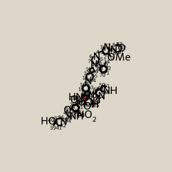 COc1cc(CN2CCN(C3CC4(CCN(c5ccc(C(=O)NS(=O)(=O)c6cc7c(c([N+](=O)[O-])c6)N[C@H](CN6CCC(C)(O)CC6)CO7)c(N6c7cc8cc[nH]c8nc7O[C@H]7COCC[C@@H]76)c5)CC4)C3)[C@H](c3ccccc3C)C2)cnc1N1CCOCC1